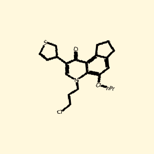 CCCOc1cc2c(c3c(=O)c(C4CCSC4)cn(CCCCl)c13)CCC2